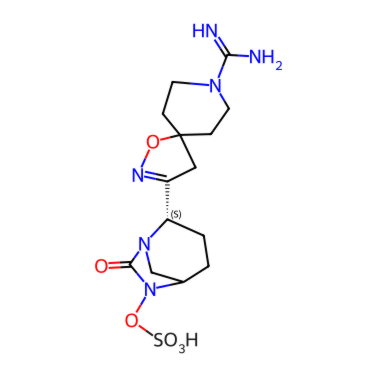 N=C(N)N1CCC2(CC1)CC([C@@H]1CCC3CN1C(=O)N3OS(=O)(=O)O)=NO2